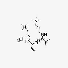 C=C(C)C(=O)NCCC[N+](C)(C)C.C=CC(=O)NCCC[N+](C)(C)C.[Cl-].[Cl-]